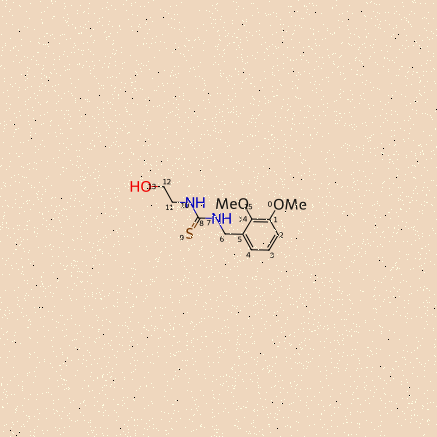 COc1cccc(CNC(=S)NCCO)c1OC